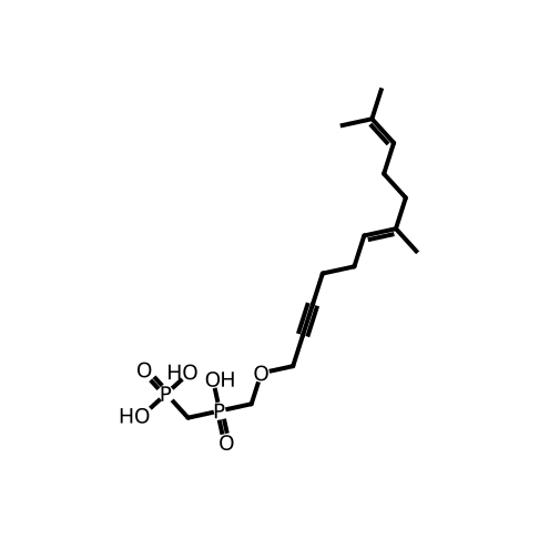 CC(C)=CCCC(C)=CCCC#CCOCP(=O)(O)CP(=O)(O)O